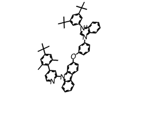 Cc1cc(C(C)(C)C)cc(C)c1-c1ccnc(-n2c3ccccc3c3ccc(Oc4cccc(-n5c[n+](-c6cc(C(C)(C)C)cc(C(C)(C)C)c6)c6ccccc65)c4)cc32)c1